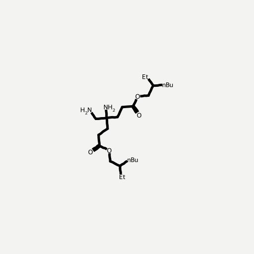 CCCCC(CC)COC(=O)CCC(N)(CN)CCC(=O)OCC(CC)CCCC